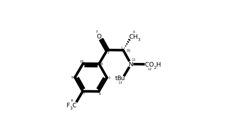 C[C@@H](C(=O)c1ccc(C(F)(F)F)cc1)N(C(=O)O)C(C)(C)C